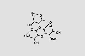 COC1C(OC2C(OC3C(C)OC4OC4C3O)OC3OC3C2O)OC2OC2C1O